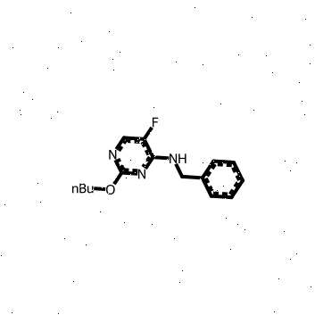 CCCCOc1ncc(F)c(NCc2ccccc2)n1